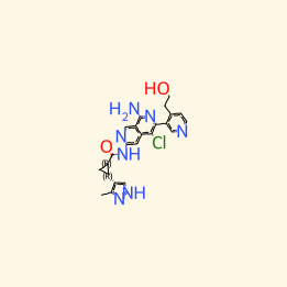 Cc1n[nH]cc1[C@@H]1C[C@H]1C(=O)Nc1cc2c(Cl)c(-c3cnccc3CCO)nc(N)c2cn1